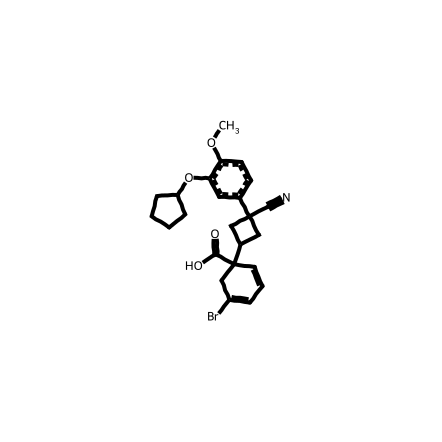 COc1ccc(C2(C#N)CC(C3(C(=O)O)C=CC=C(Br)C3)C2)cc1OC1CCCC1